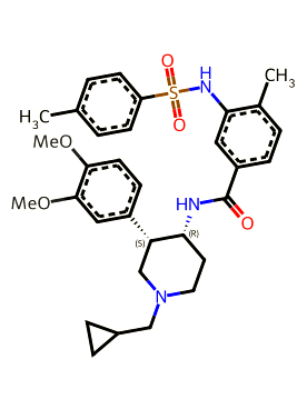 COc1ccc([C@H]2CN(CC3CC3)CC[C@H]2NC(=O)c2ccc(C)c(NS(=O)(=O)c3ccc(C)cc3)c2)cc1OC